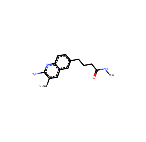 CCCCCc1cc2cc(CCCC(=O)NC(C)(C)C)ccc2nc1N